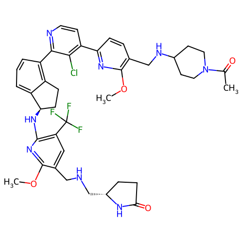 COc1nc(-c2ccnc(-c3cccc4c3CC[C@H]4Nc3nc(OC)c(CNC[C@@H]4CCC(=O)N4)cc3C(F)(F)F)c2Cl)ccc1CNC1CCN(C(C)=O)CC1